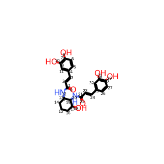 O=C(C=Cc1ccc(O)c(O)c1)N[C]1CCCC(O)C1NC(=O)C=Cc1ccc(O)c(O)c1